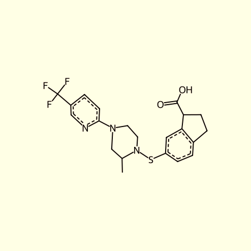 CC1CN(c2ccc(C(F)(F)F)cn2)CCN1Sc1ccc2c(c1)C(C(=O)O)CC2